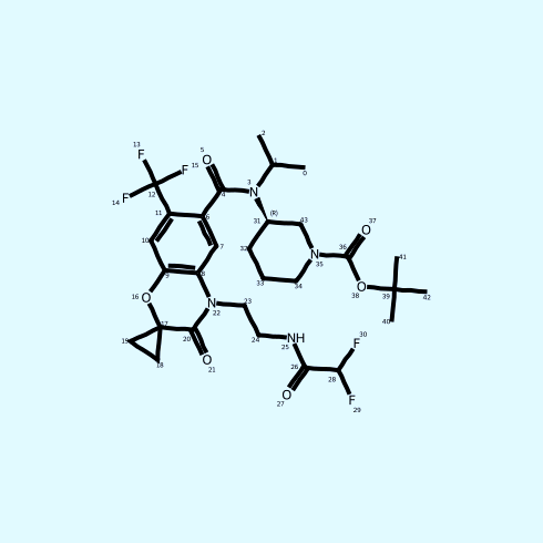 CC(C)N(C(=O)c1cc2c(cc1C(F)(F)F)OC1(CC1)C(=O)N2CCNC(=O)C(F)F)[C@@H]1CCCN(C(=O)OC(C)(C)C)C1